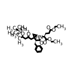 CCOC(=O)CC[C@H](NC(=O)[C@H](Cc1ccccc1)C1(CC(=O)CC(C)O[Si](C)(C)C(C)(C)C)CC1)C(=O)OCC